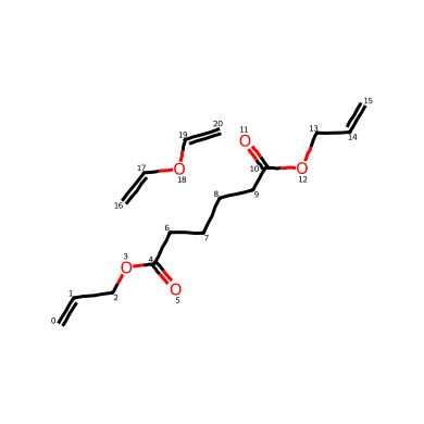 C=CCOC(=O)CCCCC(=O)OCC=C.C=COC=C